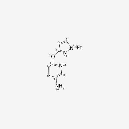 CCn1ccc(Oc2ccc(N)cn2)n1